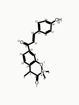 CC1C(=O)[N+](C)(C)Oc2cc(C(=O)C=Cc3ccc(O)cc3)ccc21